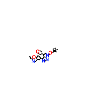 C=CC(=O)N(C)Cc1cccc(-c2ncnc3c2c(C2CCOCC2)cn3COCC[Si](C)(C)C)c1